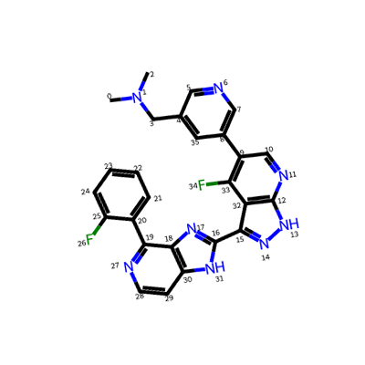 CN(C)Cc1cncc(-c2cnc3[nH]nc(-c4nc5c(-c6ccccc6F)nccc5[nH]4)c3c2F)c1